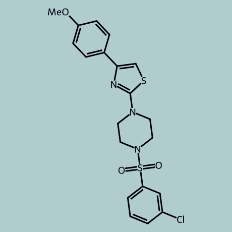 COc1ccc(-c2csc(N3CCN(S(=O)(=O)c4cccc(Cl)c4)CC3)n2)cc1